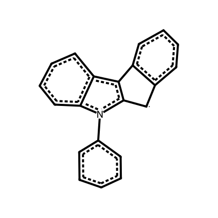 [CH]1c2ccccc2-c2c1n(-c1ccccc1)c1ccccc21